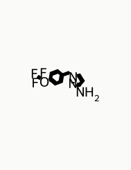 Nc1ccn(Cc2ccc(OC(F)(F)F)cc2)n1